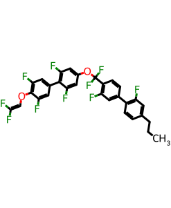 CCCc1ccc(-c2ccc(C(F)(F)Oc3cc(F)c(-c4cc(F)c(OC=C(F)F)c(F)c4)c(F)c3)c(F)c2)c(F)c1